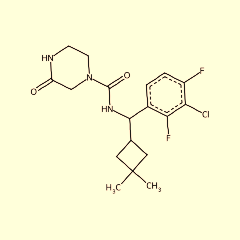 CC1(C)CC(C(NC(=O)N2CCNC(=O)C2)c2ccc(F)c(Cl)c2F)C1